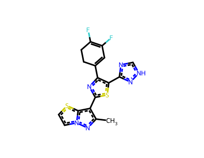 Cc1nn2ccsc2c1-c1nc(C2=CC(F)=C(F)CC2)c(-c2nc[nH]n2)s1